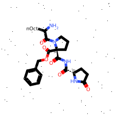 CCCCCCCCC(N)C(=O)N1CCC[C@]1(C(=O)NC(=O)[C@@H]1CCC(=O)N1)C(=O)OCc1ccccc1